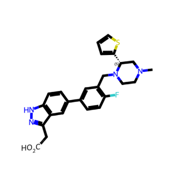 CN1CCN(Cc2cc(-c3ccc4[nH]nc(CC(=O)O)c4c3)ccc2F)[C@H](c2cccs2)C1